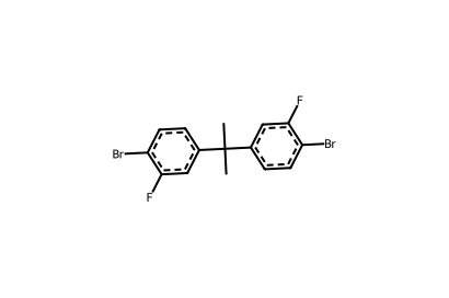 CC(C)(c1ccc(Br)c(F)c1)c1ccc(Br)c(F)c1